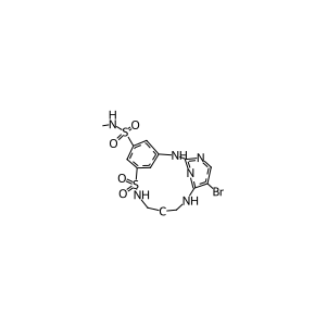 CNS(=O)(=O)c1cc2cc(c1)S(=O)(=O)NCCCNc1nc(ncc1Br)N2